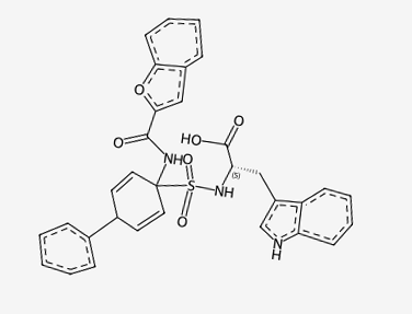 O=C(NC1(S(=O)(=O)N[C@@H](Cc2c[nH]c3ccccc23)C(=O)O)C=CC(c2ccccc2)C=C1)c1cc2ccccc2o1